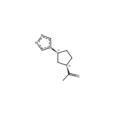 CC(=O)[C@@H]1CC[C@H](n2cnnc2)C1